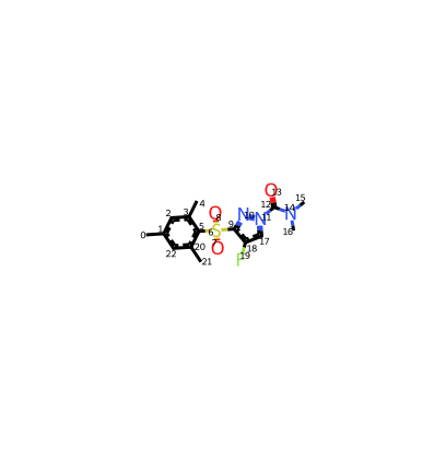 Cc1cc(C)c(S(=O)(=O)c2nn(C(=O)N(C)C)cc2F)c(C)c1